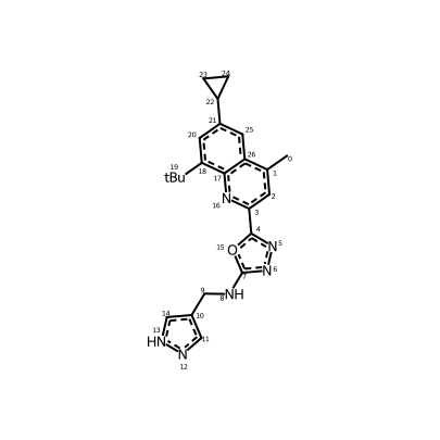 Cc1cc(-c2nnc(NCc3cn[nH]c3)o2)nc2c(C(C)(C)C)cc(C3CC3)cc12